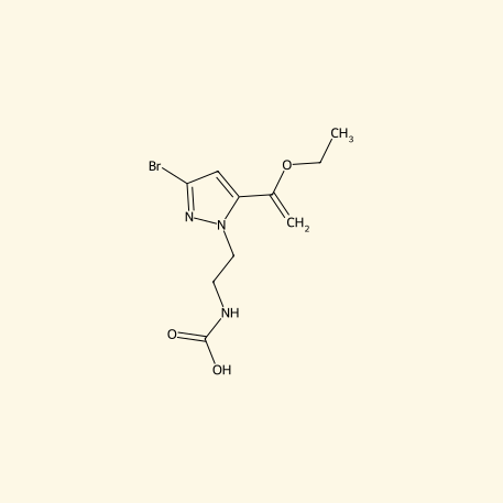 C=C(OCC)c1cc(Br)nn1CCNC(=O)O